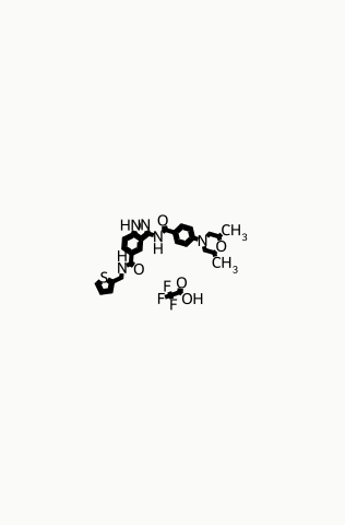 CC1CN(c2ccc(C(=O)Nc3n[nH]c4ccc(C(=O)NCc5cccs5)cc34)cc2)CC(C)O1.O=C(O)C(F)(F)F